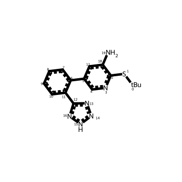 CC(C)(C)Sc1ncc(-c2ccccc2-c2nn[nH]n2)cc1N